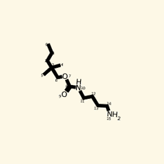 CCCC(C)(C)COC(=O)NCCCCN